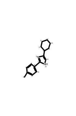 Cc1ccc(-c2nc(C3CCCCC3)c[nH]2)cc1